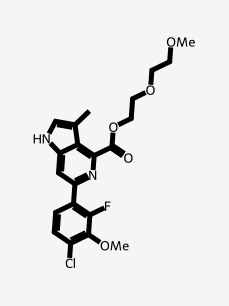 COCCOCCOC(=O)c1nc(-c2ccc(Cl)c(OC)c2F)cc2[nH]cc(C)c12